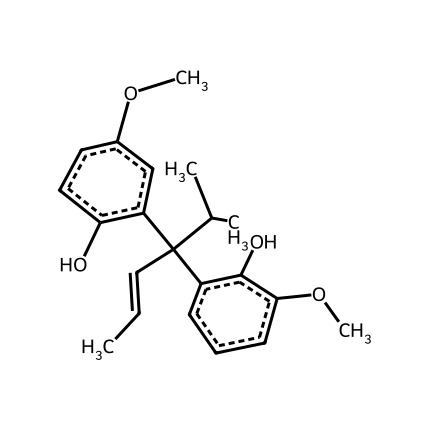 CC=CC(c1cc(OC)ccc1O)(c1cccc(OC)c1O)C(C)C